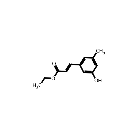 CCOC(=O)/C=C/c1cc(C)cc(O)c1